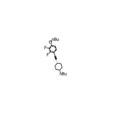 CCCCOc1ccc(C#C[C@H]2CC[C@H](CCCC)CC2)c(F)c1F